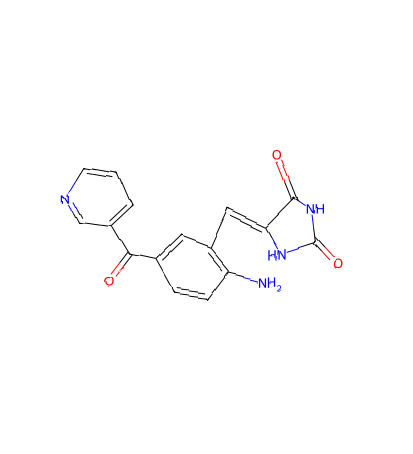 Nc1ccc(C(=O)c2cccnc2)cc1/C=C1\NC(=O)NC1=O